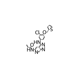 C=CC(=O)Nc1cc2c(Nc3ccc(OCc4cccs4)c(Cl)c3)ncnc2cn1